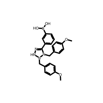 COc1ccc(CN2NN=C(c3cccc(B(O)O)c3)N2Cc2ccc(OC)cc2)cc1